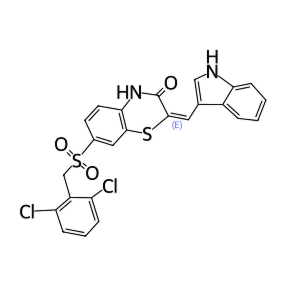 O=C1Nc2ccc(S(=O)(=O)Cc3c(Cl)cccc3Cl)cc2S/C1=C/c1c[nH]c2ccccc12